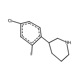 Fc1cc(Cl)ccc1C1CCCNC1